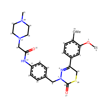 CCOc1cc(C2=NN(Cc3ccc(NC(=O)CN4CCN(C)CC4)cc3)C(=O)SC2)ccc1OC